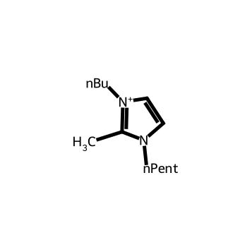 CCCCCn1cc[n+](CCCC)c1C